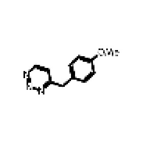 COc1ccc(Cc2ccnnn2)cc1